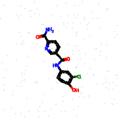 NC(=O)c1ccc(C(=O)Nc2ccc(O)c(Cl)c2)cn1